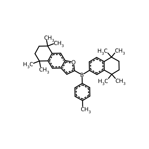 Cc1ccc(B(c2ccc3c(c2)C(C)(C)CCC3(C)C)c2cc3cc4c(cc3o2)C(C)(C)CCC4(C)C)cc1